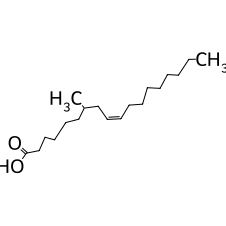 CCCCCCCC/C=C\CC(C)CCCCCC(=O)O